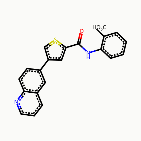 O=C(Nc1ccccc1C(=O)O)c1cc(-c2ccc3ncccc3c2)cs1